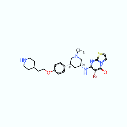 CN1C[C@H](Nc2nc3sccn3c(=O)c2Br)C[C@H](c2ccc(OCCC3CCNCC3)cc2)C1